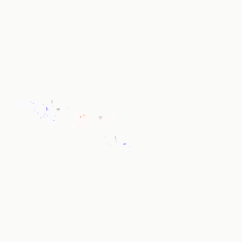 CCCCCCCCCCCCCCCCCCOC[C@H](COP(=O)(O)OC[C@@H]1CC[C@](C#N)(c2ccc3c(N)ncnn23)O1)OCc1cccc(C#N)c1